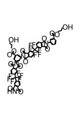 O=C(OCCCO)c1cccc(N2C(=O)c3ccc(C(c4ccc5c(c4)C(=O)N(c4cc(C(=O)OCCCO)cc(N6C(=O)c7ccc(C(c8ccc9c(c8)C(=O)NC9=O)(C(F)(F)F)C(F)(F)F)cc7C6=O)c4)C5=O)(C(F)(F)F)C(F)(F)F)cc3C2=O)c1